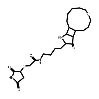 O=C(CSC1CC(=O)NC1=O)NCCCCC1NC2C3CCCCCCCCCC3C2C1=O